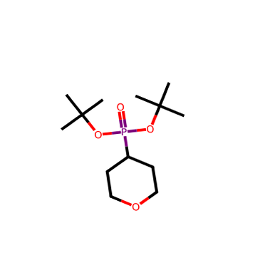 CC(C)(C)OP(=O)(OC(C)(C)C)C1CCOCC1